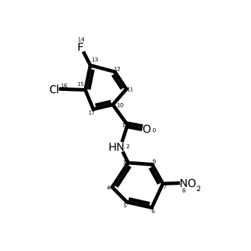 O=C(Nc1cccc([N+](=O)[O-])c1)c1ccc(F)c(Cl)c1